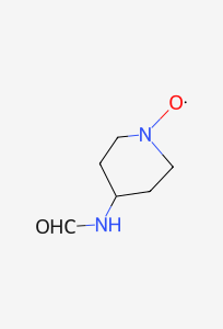 [O]N1CCC(NC=O)CC1